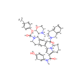 CN(C(=O)c1cc(-c2cc3c(cc2C(=O)N2Cc4ccccc4C[C@H]2CN2CCOCC2)CN(C(=O)Oc2ccc(C(F)(F)F)cc2)CC3)n2c1CCCC2)c1ccc(O)cc1